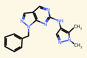 Cc1c(Nc2ncc3cnn(Cc4ccccc4)c3n2)cnn1C